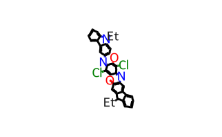 CCC1c2ccccc2-c2cc3c(cc21)Oc1c(Cl)c2c(c(Cl)c1=N3)Oc1cc3c(cc1N=2)c1ccccc1n3CC